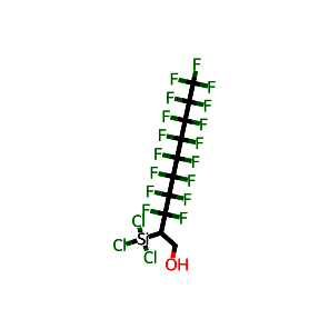 OCC(C(F)(F)C(F)(F)C(F)(F)C(F)(F)C(F)(F)C(F)(F)C(F)(F)C(F)(F)F)[Si](Cl)(Cl)Cl